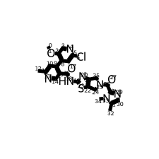 COc1cnc(Cl)cc1-c1cc(C)ncc1C(=O)Nc1nc2c(s1)CN(C(=O)c1ncc(C)n1C)C2